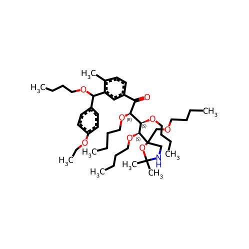 CCCCOCC1([C@@H](OCCCC)[C@H](OCCCC)[C@@H](OCCCC)C(=O)c2ccc(C)c(C(OCCCC)c3ccc(OCC)cc3)c2)CNC(C)(C)O1